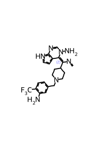 C=N/C(=C1/c2cc[nH]c2N=CN1N)C1CCN(Cc2ccc(C(F)(F)F)c(N)c2)CC1